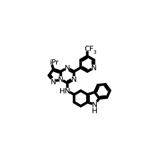 CC(C)c1cnn2c(NC3CCc4[nH]c5ccccc5c4C3)nc(-c3cncc(C(F)(F)F)c3)nc12